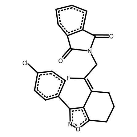 O=C1c2ccccc2C(=O)N1C/C(F)=C1\CCCc2onc(-c3ccc(Cl)cc3)c21